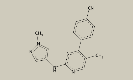 Cc1cnc(Nc2cnn(C)c2)nc1-c1ccc(C#N)cc1